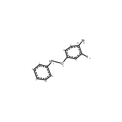 Fc1cc(ONc2ccccc2)ccc1Br